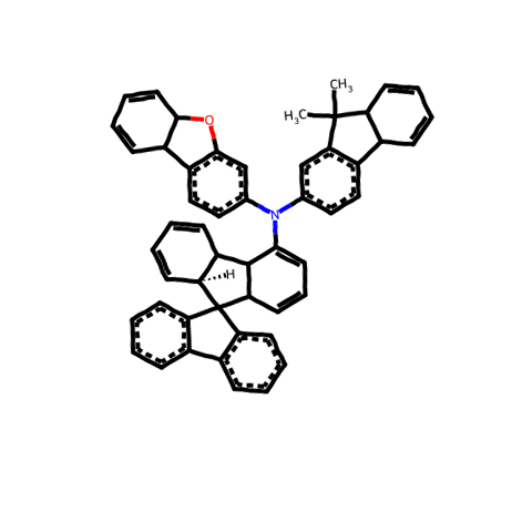 CC1(C)c2cc(N(C3=CC=CC4C3C3C=CC=C[C@@H]3C43c4ccccc4-c4ccccc43)c3ccc4c(c3)OC3C=CC=CC43)ccc2C2C=CC=CC21